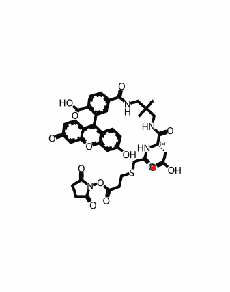 CC(C)(CNC(=O)c1ccc(C(=O)O)c(-c2c3ccc(=O)cc-3oc3cc(O)ccc23)c1)CNC(=O)[C@H](CC(=O)O)NC(=O)CSCCC(=O)ON1C(=O)CCC1=O